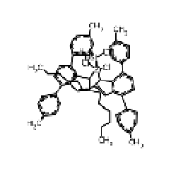 CCCCCCC1=Cc2c(-c3ccc(C)cc3)ccc(-c3ccc(C)cc3)c2[CH]1[Zr]([Cl])([Cl])([CH]1C(CCCCCC)=Cc2c(-c3ccc(C)cc3)ccc(-c3ccc(C)cc3)c21)[SiH](C)C